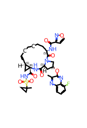 Cc1nc2cccc(F)c2nc1O[C@@H]1C[C@H]2C(=O)N[C@]3(C(=O)NS(=O)(=O)C4(C)CC4)C[C@H]3C=CCCCCC[C@H](NC(=O)c3ccon3)C(=O)N2C1